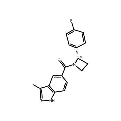 Cc1n[nH]c2ccc(C(=O)N3CC[C@H]3c3ccc(F)cc3)cc12